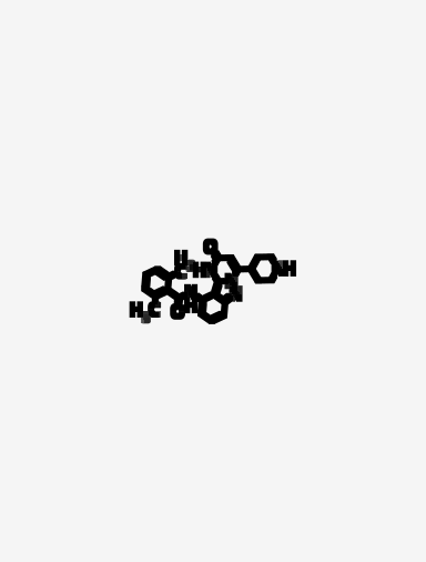 Cc1cccc(C)c1C(=O)Nc1cccc2nn3c(C4CCNCC4)cc(=O)[nH]c3c12